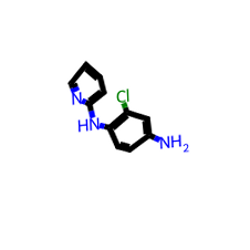 Nc1ccc(Nc2ccccn2)c(Cl)c1